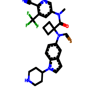 CN(C(=O)C1(N(C=S)c2ccc3c(ccn3C3CCNCC3)c2)CCC1)c1cnc(C#N)c(C(F)(F)F)c1